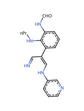 CCCNc1c(NC=O)cccc1/C(C=N)=C/Nc1cccnc1